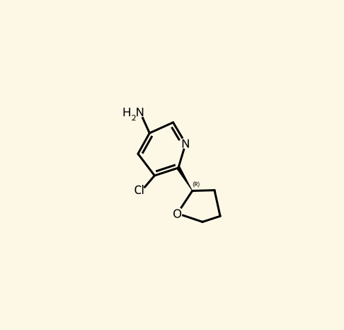 Nc1cnc([C@H]2CCCO2)c(Cl)c1